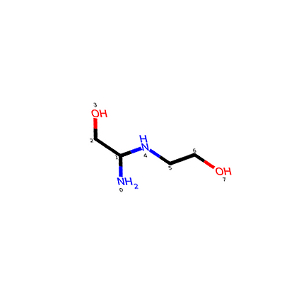 NC(CO)NCCO